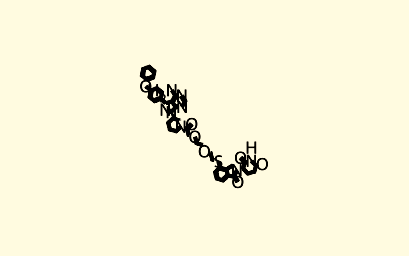 Nc1ncnc2c1c(-c1ccc(Oc3ccccc3)cc1)nn2[C@@H]1CCCN(C(=O)COCCOCCSc2cccc3c2CN(C2CCC(=O)NC2=O)C3=O)C1